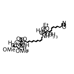 CCC(=O)OC(\C(C)=C/C=C\C=C\Cc1cnco1)C(C)(C)C(=O)NC\C=C/C=C/C=C/C=C/C(=O)N(O)C1(C(=O)N(C)C(C(=O)OC)C(C)OC)COCO1